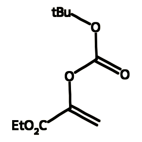 C=C(OC(=O)OC(C)(C)C)C(=O)OCC